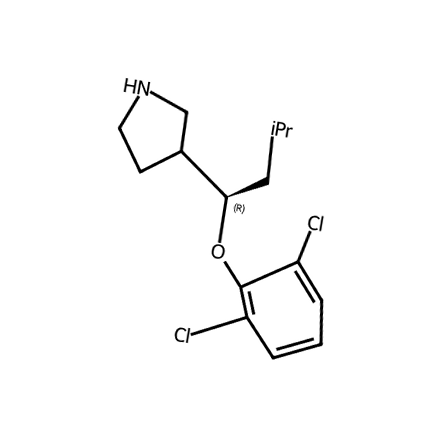 CC(C)C[C@@H](Oc1c(Cl)cccc1Cl)C1CCNC1